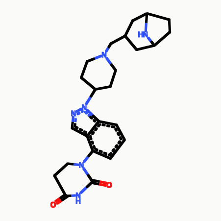 O=C1CCN(c2cccc3c2cnn3C2CCN(CC3CC4CCC(C3)N4)CC2)C(=O)N1